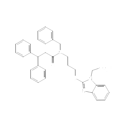 O=C(O)Cn1c(SCCCN(Cc2ccccc2)C(=O)CC(c2ccccc2)c2ccccc2)nc2ccccc21